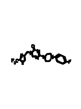 O=c1nc(N2CCN(c3ccc(F)cc3)CC2)ncn1Cc1csc(C(F)(F)F)n1